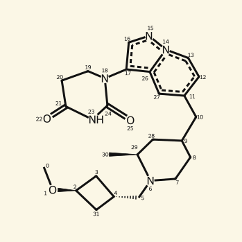 CO[C@H]1C[C@H](CN2CCC(Cc3ccn4ncc(N5CCC(=O)NC5=O)c4c3)C[C@@H]2C)C1